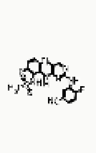 CS(=O)(=O)Nc1c(F)cccc1Nc1nc(Nc2cc(C#N)ccc2F)ncc1Cl